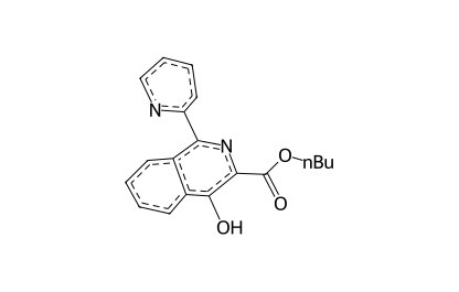 CCCCOC(=O)c1nc(-c2ccccn2)c2ccccc2c1O